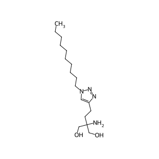 CCCCCCCCCCn1cc(CCC(N)(CO)CO)nn1